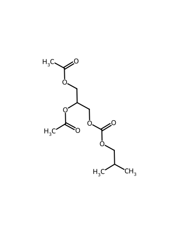 CC(=O)OCC(COC(=O)OCC(C)C)OC(C)=O